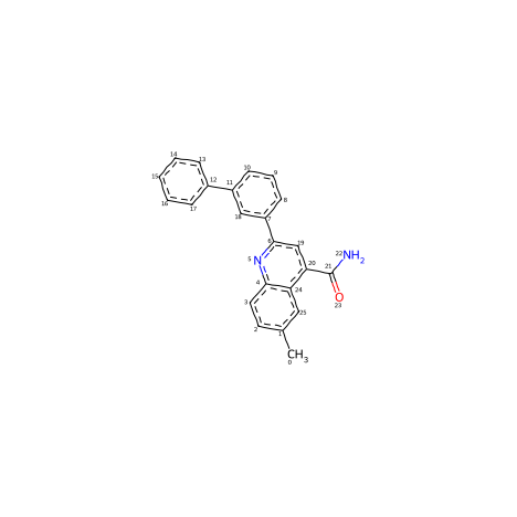 Cc1ccc2nc(-c3cccc(-c4ccccc4)c3)cc(C(N)=O)c2c1